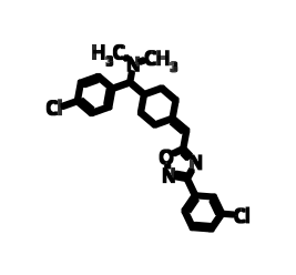 CN(C)C(c1ccc(Cl)cc1)C1CCC(=Cc2nc(-c3cccc(Cl)c3)no2)CC1